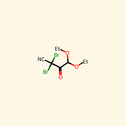 CCOC(OCC)C(=O)C(Br)(Br)C#N